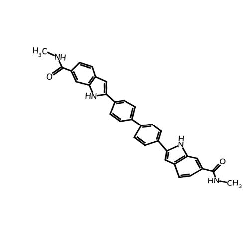 CNC(=O)c1ccc2cc(-c3ccc(-c4ccc(-c5cc6ccc(C(=O)NC)cc6[nH]5)cc4)cc3)[nH]c2c1